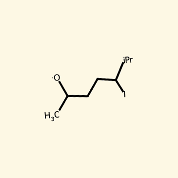 CC([O])CCC(I)C(C)C